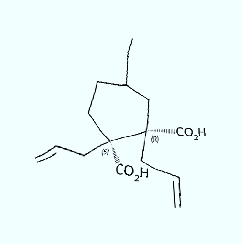 C=CC[C@@]1(C(=O)O)CCC(C)C[C@]1(CC=C)C(=O)O